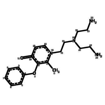 Cc1c(Oc2ccccc2)c(=O)ccn1CCN(CCN)CCN